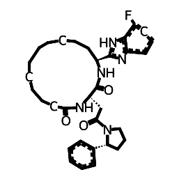 O=C1CCCCCCCCCC[C@@H](c2nc3cccc(F)c3[nH]2)NC(=O)[C@H](CC(=O)N2CCC[C@@H]2c2ccccc2)N1